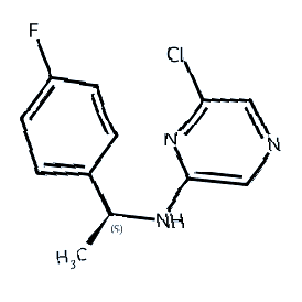 C[C@H](Nc1cncc(Cl)n1)c1ccc(F)cc1